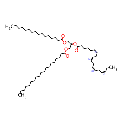 CC/C=C\C/C=C\C/C=C\C/C=C\CCCCC(=O)O[C@H](COC(=O)CCCCCCCCCCCCCCC)COC(=O)CCCCCCCCCCCCCCCCCC